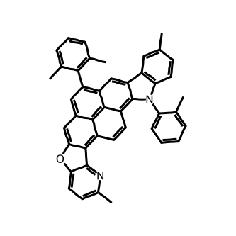 Cc1ccc2c(c1)c1cc3c(-c4c(C)cccc4C)cc4cc5oc6ccc(C)nc6c5c5ccc(c3c45)c1n2-c1ccccc1C